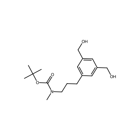 CN(CCCc1cc(CO)cc(CO)c1)C(=O)OC(C)(C)C